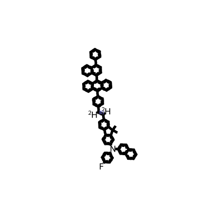 [2H]/C(=C(/[2H])c1ccc2c(c1)C(C)(C)c1cc(N(c3ccc(F)cc3)c3ccc4ccccc4c3)ccc1-2)c1ccc(-c2c3ccccc3c(-c3ccc(-c4ccccc4)c4ccccc34)c3ccccc23)cc1